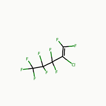 FC(F)=C(Cl)C(F)(F)C(F)(F)C(F)(F)F